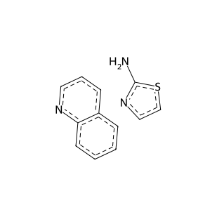 Nc1nccs1.c1ccc2ncccc2c1